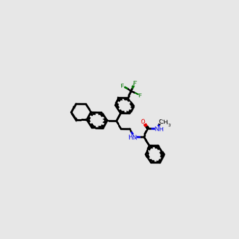 CNC(=O)C(NCCC(c1ccc(C(F)(F)F)cc1)c1ccc2c(c1)CCCC2)c1ccccc1